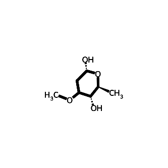 COC1C[C@H](O)O[C@@H](C)[C@@H]1O